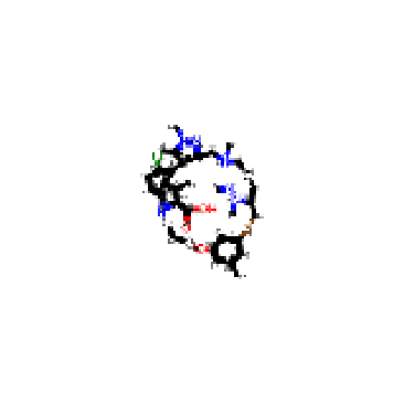 C=NN(C)/C1=C\CCN(C)Cc2nn(C)c(C)c2-c2c(Cl)ccc3c2c(C)c(C(=O)O)n3CCCOc2cc(C)cc(c2)SC1